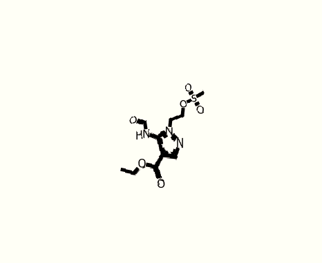 CCOC(=O)c1cnn(CCOS(C)(=O)=O)c1NC=O